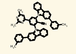 Cc1cccc(-c2ccc3c4ccccc4n(-c4cc(-c5cc(C)nc(C)n5)cc(-n5c6ccccc6c6ccc(-c7cccc(C)c7)cc65)c4C#N)c3c2)c1